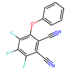 N#Cc1c(F)c(F)c(F)c(Oc2ccccc2)c1C#N